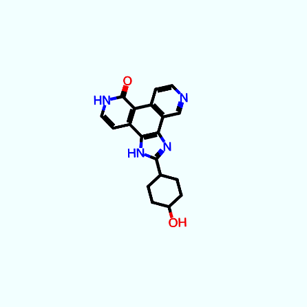 O=c1[nH]ccc2c3[nH]c(C4CCC(O)CC4)nc3c3cnccc3c12